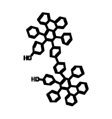 Oc1ccc(-c2c(-c3ccc(-c4ccc(-c5c(-c6ccc(O)cc6)c(-c6ccccc6)c6c7ccccc7c7ccccc7c6c5-c5ccccc5)cc4)cc3)c(-c3ccccc3)c3c4ccccc4c4ccccc4c3c2-c2ccccc2)cc1